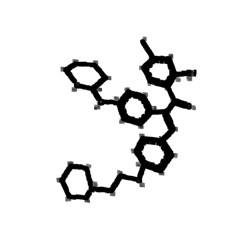 Cc1ccc(C(=O)C(=Cc2ccc(OCCN3CCCCC3)cc2)c2ccc(OC3CCCCO3)cc2)c(O)c1